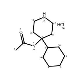 CC(=O)NC1(C2CCCCC2)CCNCC1.Cl